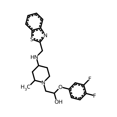 CC1CC(NCc2nc3ccccc3s2)CCN1CC(O)Oc1ccc(F)c(F)c1